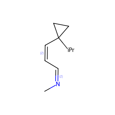 C/N=C\C=C/C1(C(C)C)CC1